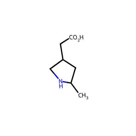 CC1CC(CC(=O)O)CN1